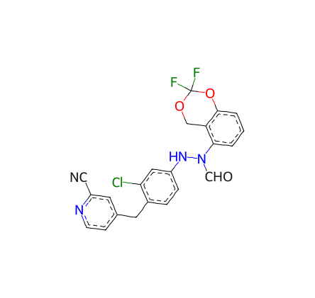 N#Cc1cc(Cc2ccc(NN(C=O)c3cccc4c3COC(F)(F)O4)cc2Cl)ccn1